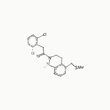 CSCc1cccc2c1CCN(C(=O)Cc1c(Cl)cccc1Cl)[C@H]2C